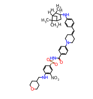 C[C@H]1[C@@H](Nc2ccc(C=C3CCN(c4ccc(C(=O)NS(=O)(=O)c5ccc(NCC6CCOCC6)c([N+](=O)[O-])c5)cc4)CC3)cc2)C[C@@H]2C[C@@H]1C2(C)C